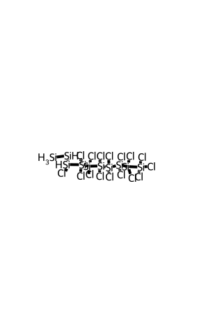 [SiH3][SiH2][SiH](Cl)[Si](Cl)(Cl)[Si](Cl)(Cl)[Si](Cl)(Cl)[Si](Cl)(Cl)[Si](Cl)(Cl)[Si](Cl)(Cl)[Si](Cl)(Cl)Cl